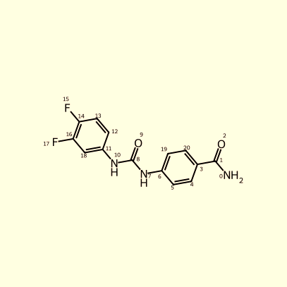 NC(=O)c1ccc(NC(=O)Nc2ccc(F)c(F)c2)cc1